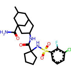 CC1CC2CC(NC(=O)C3(NS(=O)(=O)c4cccc(Cl)c4F)CCCC3)CC(C(N)=O)(C1)C2